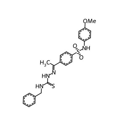 COc1ccc(NS(=O)(=O)c2ccc(C(C)=NNC(=S)NCc3ccccc3)cc2)cc1